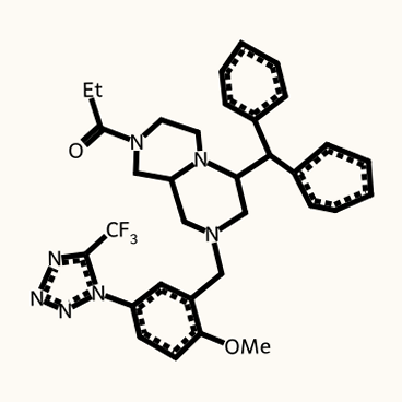 CCC(=O)N1CCN2C(CN(Cc3cc(-n4nnnc4C(F)(F)F)ccc3OC)CC2C(c2ccccc2)c2ccccc2)C1